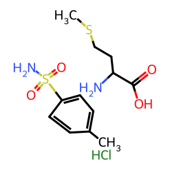 CSCCC(N)C(=O)O.Cc1ccc(S(N)(=O)=O)cc1.Cl